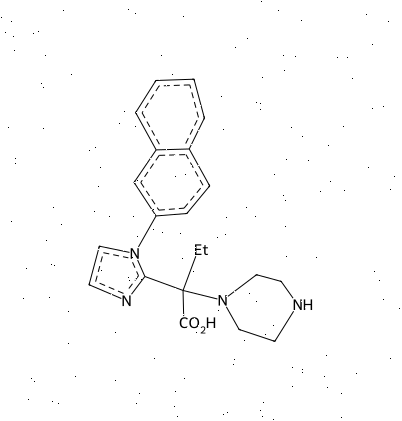 CCC(C(=O)O)(c1nccn1-c1ccc2ccccc2c1)N1CCNCC1